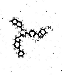 CC1CC2CC(C)C(c3ccc(-c4nc(-c5ccc6ccccc6c5)nc(-c5ccc6ccc(-c7ccccc7)cc6c5)n4)cc3)C(C1)C2